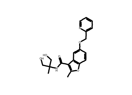 Cc1oc2ccc(OCc3ccccn3)cc2c1C(=O)NC(C)(CO)CO